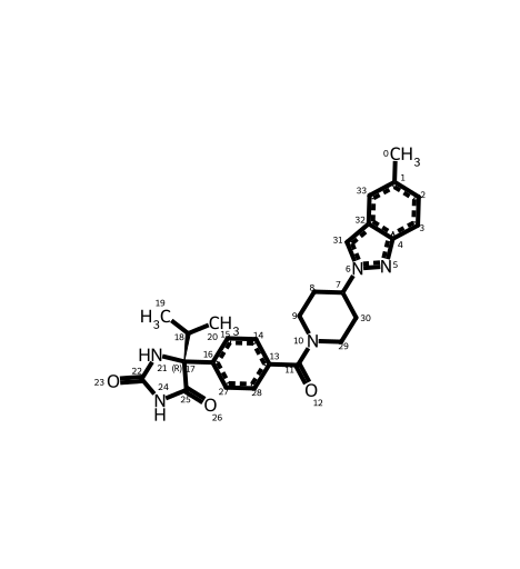 Cc1ccc2nn(C3CCN(C(=O)c4ccc([C@@]5(C(C)C)NC(=O)NC5=O)cc4)CC3)cc2c1